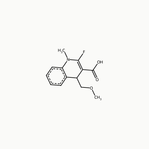 COCC1C(C(=O)O)=C(F)N(C)c2ccccc21